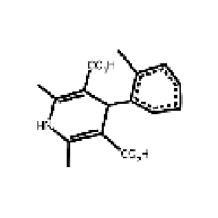 CC1=C(C(=O)O)C(c2ccccc2C)C(C(=O)O)=C(C)N1